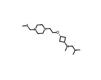 CSCN1CCN(CCO[C@H]2C[C@H](N(C)CC(C)C)C2)CC1